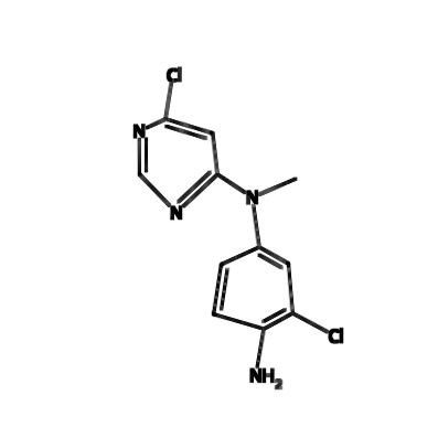 CN(c1ccc(N)c(Cl)c1)c1cc(Cl)ncn1